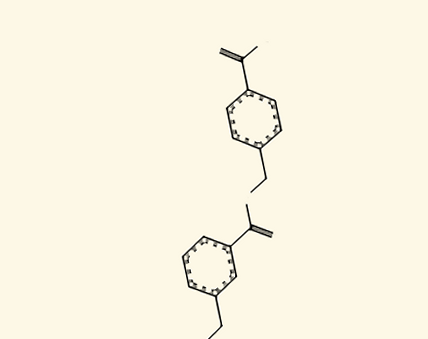 O=C(O)c1ccc(COC(=O)c2cccc(CO)c2)cc1